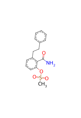 CS(=O)(=O)Oc1cccc(CCc2ccccc2)c1C(N)=O